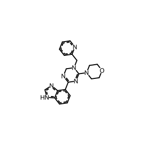 c1ccc(CN2CN=C(c3cccc4[nH]cnc34)N=C2N2CCOCC2)nc1